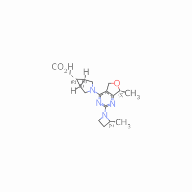 C[C@@H]1OCc2c1nc(N1CC[C@@H]1C)nc2N1C[C@@H]2[C@H](CC(=O)O)[C@@H]2C1